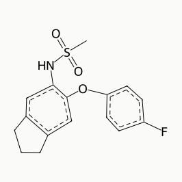 CS(=O)(=O)Nc1cc2c(cc1Oc1ccc(F)cc1)CCC2